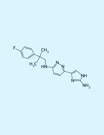 CC(C)(CNc1ccc(-c2c[nH]c(N)n2)nn1)c1ccc(F)cc1